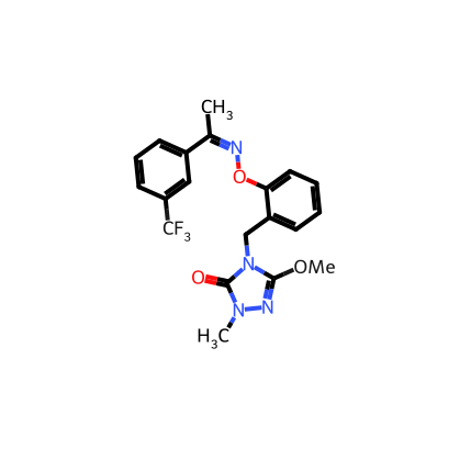 COc1nn(C)c(=O)n1Cc1ccccc1ON=C(C)c1cccc(C(F)(F)F)c1